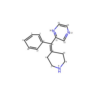 c1ccc(C(=C2CCNCC2)c2cnccn2)cc1